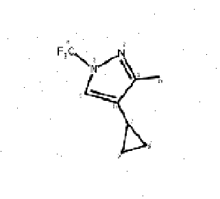 Cc1nn(C(F)(F)F)cc1C1CC1